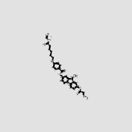 C=COC(=O)CCCCCOc1ccc(C(=O)Sc2ccc3c(c2)C(C)c2cc(OC(=O)C=C)ccc2-3)cc1